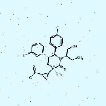 CCC(CC)N1C(=O)[C@@](C)(C2CC2C(=O)O)C[C@H](c2cccc(Cl)c2)[C@H]1c1ccc(Cl)cc1